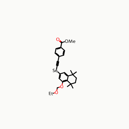 CCOCOc1cc([Se]C#Cc2ccc(C(=O)OC)cc2)cc2c1C(C)(C)CCC2(C)C